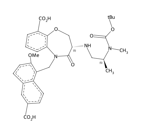 COc1ccc2cc(C(=O)O)ccc2c1CN1C(=O)[C@@H](NC[C@H](C)N(C)C(=O)OC(C)(C)C)COc2c(C(=O)O)cccc21